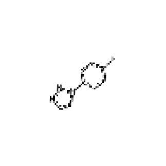 Fc1ccc(-n2ccnn2)cc1